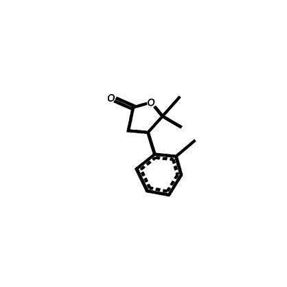 Cc1ccccc1C1CC(=O)OC1(C)C